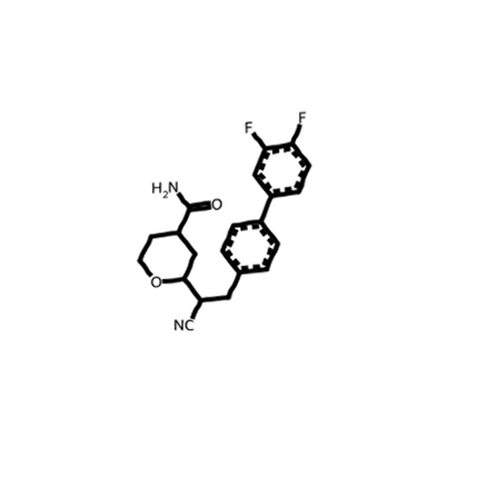 N#CC(Cc1ccc(-c2ccc(F)c(F)c2)cc1)C1CC(C(N)=O)CCO1